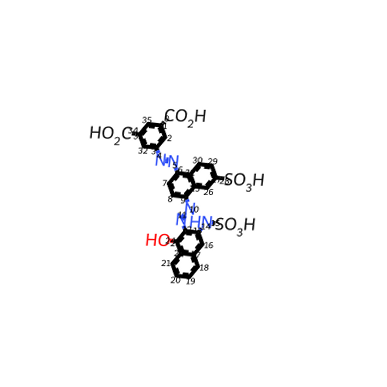 O=C(O)c1cc(N=Nc2ccc(N=Nc3c(NS(=O)(=O)O)cc4ccccc4c3O)c3cc(S(=O)(=O)O)ccc23)cc(C(=O)O)c1